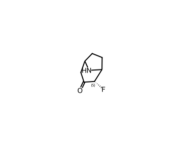 O=C1CC2CCC(N2)[C@@H]1F